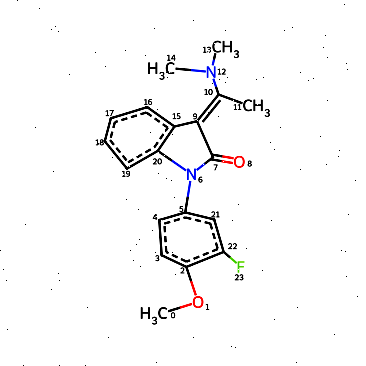 COc1ccc(N2C(=O)C(=C(C)N(C)C)c3ccccc32)cc1F